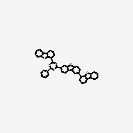 c1ccc(-c2nc(-c3ccc4c(c3)sc3ccc(-c5cccc6c5sc5ccccc56)cc34)nc(-c3cccc4c3sc3ccccc34)n2)cc1